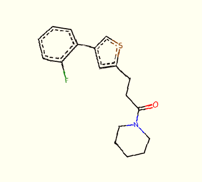 O=C(CCc1cc(-c2ccccc2F)cs1)N1CCCCC1